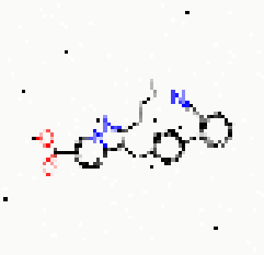 CCCCc1nn2cc(C(=O)OC)ccc2c1Cc1ccc(-c2ccccc2C#N)cc1